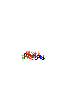 O=C(N[C@@H]1CCCc2cc(CN3CCCCC3)ccc21)[C@H](O)[C@@H](O)CS(=O)(=O)c1cccc(C(F)(F)F)c1